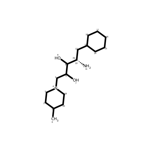 CC1CCN(CC(O)C(O)[C@@H](N)CC2CCCCC2)CC1